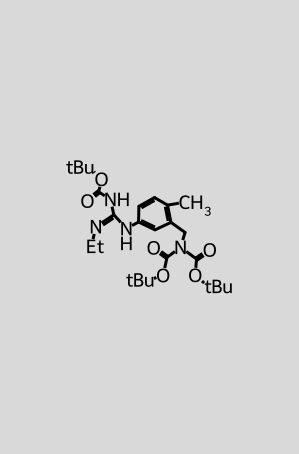 CC/N=C(/NC(=O)OC(C)(C)C)Nc1ccc(C)c(CN(C(=O)OC(C)(C)C)C(=O)OC(C)(C)C)c1